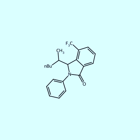 CCCCC(C)C1c2c(cccc2C(F)(F)F)C(=O)N1c1ccccc1